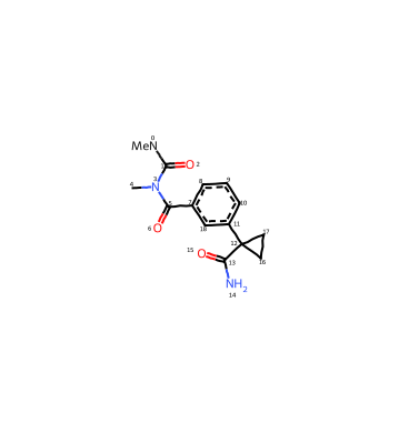 CNC(=O)N(C)C(=O)c1cccc(C2(C(N)=O)CC2)c1